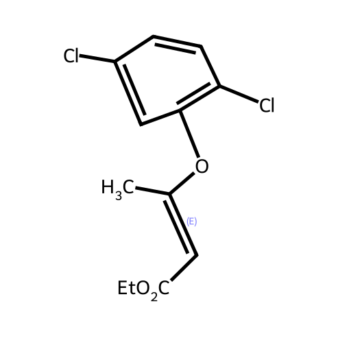 CCOC(=O)/C=C(\C)Oc1cc(Cl)ccc1Cl